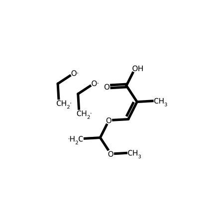 [CH2]C(OC)OC=C(C)C(=O)O.[CH2]C[O].[CH2]C[O]